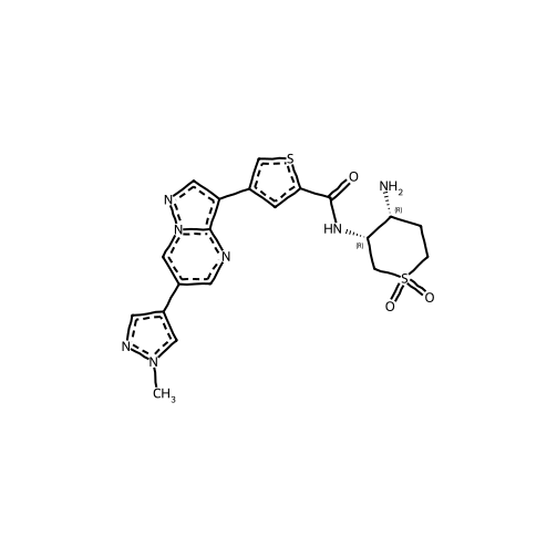 Cn1cc(-c2cnc3c(-c4csc(C(=O)N[C@H]5CS(=O)(=O)CC[C@H]5N)c4)cnn3c2)cn1